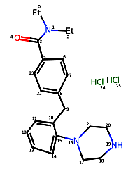 CCN(CC)C(=O)c1ccc(Cc2ccccc2N2CCNCC2)cc1.Cl.Cl